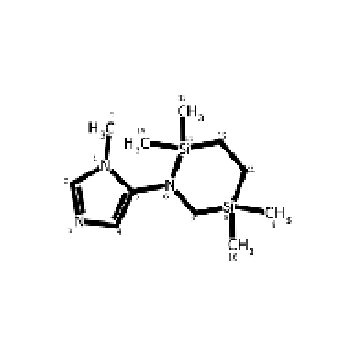 Cn1cncc1N1C[Si](C)(C)CC[Si]1(C)C